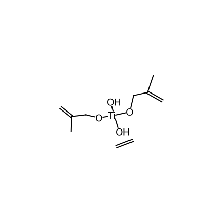 C=C.C=C(C)C[O][Ti]([OH])([OH])[O]CC(=C)C